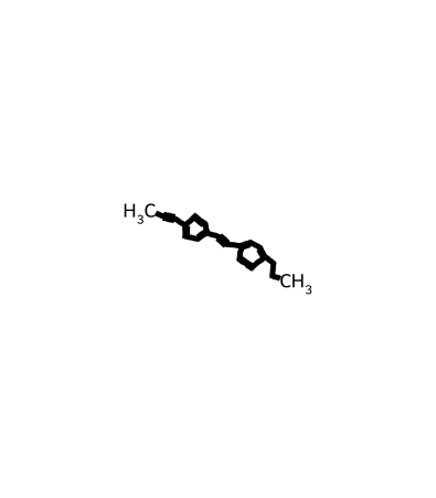 CC#Cc1ccc(C#Cc2ccc(CCC)cc2)cc1